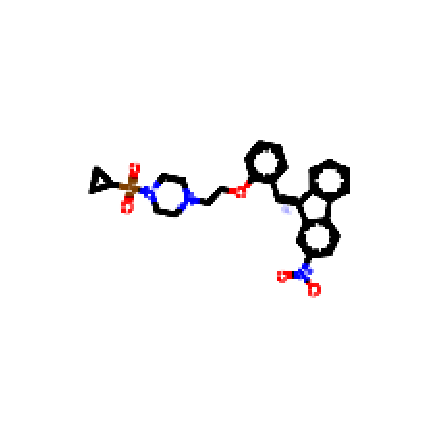 O=[N+]([O-])c1ccc2c(c1)/C(=C/c1ccccc1OCCN1CCN(S(=O)(=O)C3CC3)CC1)c1ccccc1-2